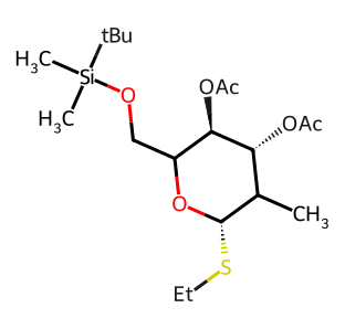 CCS[C@@H]1OC(CO[Si](C)(C)C(C)(C)C)[C@@H](OC(C)=O)[C@H](OC(C)=O)C1C